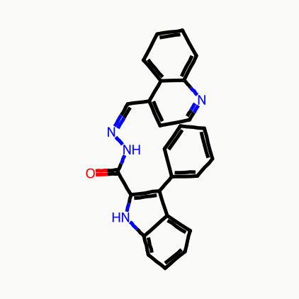 O=C(N/N=C\c1ccnc2ccccc12)c1[nH]c2ccccc2c1-c1ccccc1